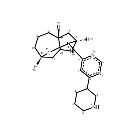 c1nc(C2CCCNC2)cc(N2C[C@H]3CCC[C@@H]4C[C@H]2NC4C3)n1